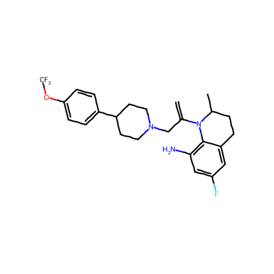 C=C(CN1CCC(c2ccc(OC(F)(F)F)cc2)CC1)N1c2c(N)cc(F)cc2CCC1C